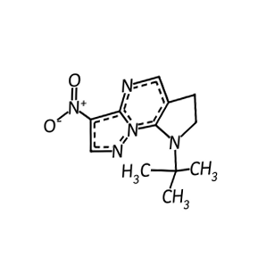 CC(C)(C)N1CCc2cnc3c([N+](=O)[O-])cnn3c21